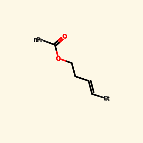 CCC=CCCOC(=O)CCC